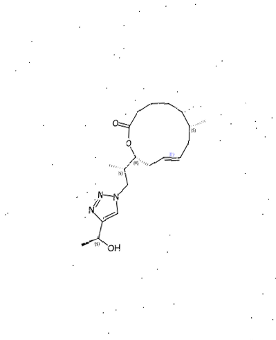 C[C@H](O)c1cn(C[C@H](C)[C@H]2C/C=C/C[C@@H](C)[CH]CCCC(=O)O2)nn1